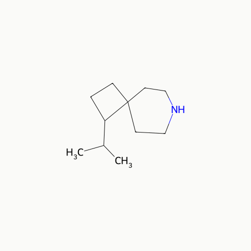 CC(C)C1CCC12CCNCC2